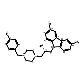 O[C@@H](CN1CCN(Cc2ccc(F)cc2)CC1)Cn1c2ccc(Br)cc2c2cc(Br)ccc21